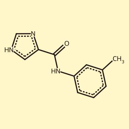 Cc1cccc(NC(=O)c2c[nH]cn2)c1